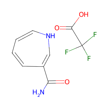 NC(=O)C1=CNC=CC=C1.O=C(O)C(F)(F)F